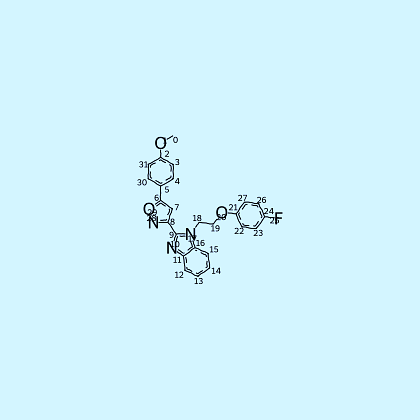 COc1ccc(-c2cc(-c3nc4ccccc4n3CCOc3ccc(F)cc3)no2)cc1